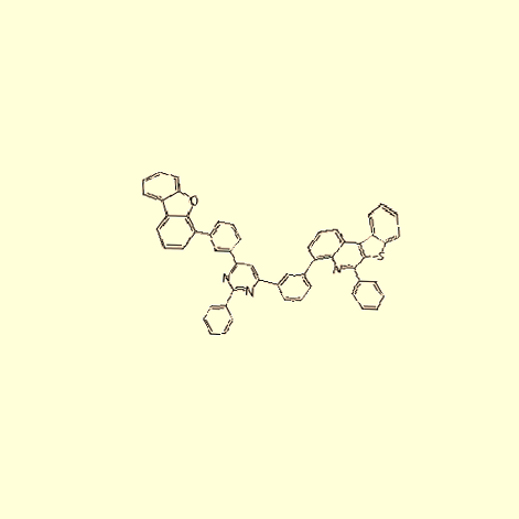 c1ccc(-c2nc(-c3cccc(-c4cccc5c4nc(-c4ccccc4)c4sc6ccccc6c45)c3)cc(-c3cccc(-c4cccc5c4oc4ccccc45)c3)n2)cc1